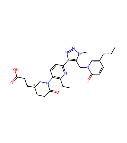 CCCc1ccc(=O)n(Cc2c(-c3ccc(N4C[C@H](CCC(=O)O)CCC4=O)c(CC)n3)nnn2C)c1